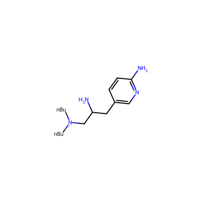 CCCCN(CCCC)CC(N)Cc1ccc(N)nc1